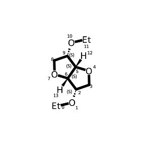 CCO[C@H]1CO[C@@H]2[C@H]1OC[C@@H]2OCC